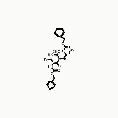 CC(C)C[C@H](NC(=O)OCc1ccccc1)C(=O)N(C(=O)[C@H](CC(C)C)NC(=O)OCc1ccccc1)[C@@H](C)[C]=O